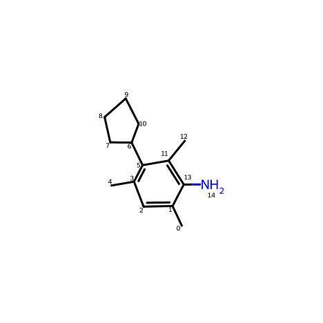 Cc1cc(C)c(C2CCCC2)c(C)c1N